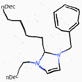 CCCCCCCCCCCCCCC1N(CCCCCCCCCCC)C=CN1Cc1ccccc1